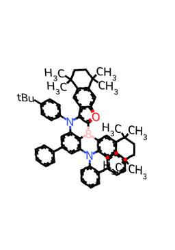 CC(C)(C)c1ccc(N2c3cc(-c4ccccc4)cc4c3B(c3cc5c(cc3N4c3ccccc3-c3ccccc3)C(C)(C)CCC5(C)C)c3oc4cc5c(cc4c32)C(C)(C)CCC5(C)C)cc1